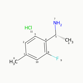 Cc1ccc([C@@H](C)N)c(F)c1.Cl